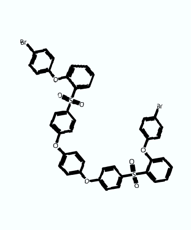 O=S(=O)(c1ccc(Oc2ccc(Oc3ccc(S(=O)(=O)c4ccccc4Oc4ccc(Br)cc4)cc3)cc2)cc1)c1ccccc1Oc1ccc(Br)cc1